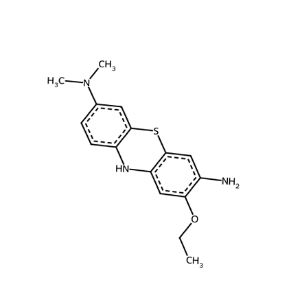 CCOc1cc2c(cc1N)Sc1cc(N(C)C)ccc1N2